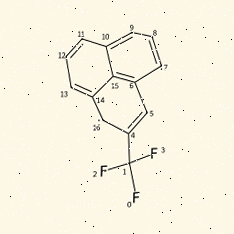 FC(F)(F)C1=Cc2[c]ccc3cccc(c23)[CH]1